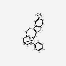 Cc1ccc2oc3c(c2c1)CCN1CC2CC(c4ccccc4)C1C3C2